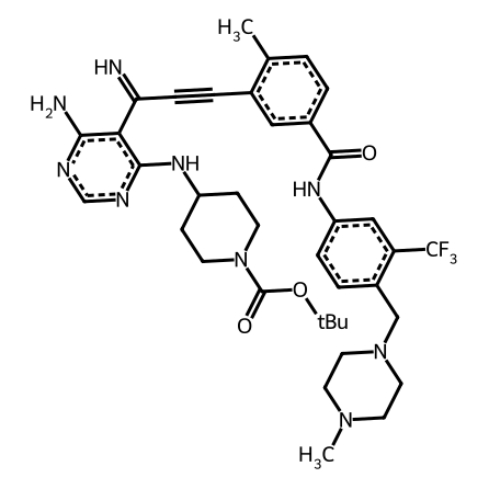 Cc1ccc(C(=O)Nc2ccc(CN3CCN(C)CC3)c(C(F)(F)F)c2)cc1C#CC(=N)c1c(N)ncnc1NC1CCN(C(=O)OC(C)(C)C)CC1